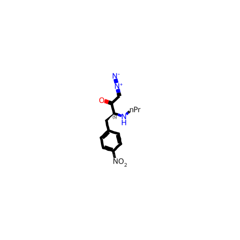 CCCN[C@@H](Cc1ccc([N+](=O)[O-])cc1)C(=O)C=[N+]=[N-]